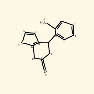 Cc1ccccc1C1CC(=O)Cc2sccc21